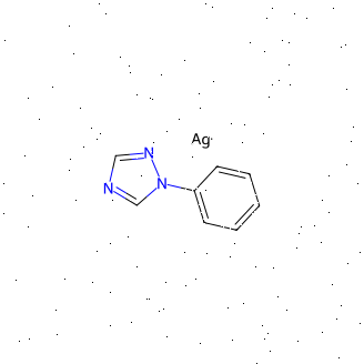 [Ag].c1ccc(-n2cncn2)cc1